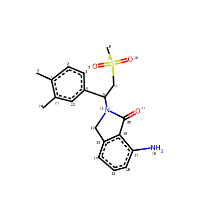 Cc1ccc(C(CS(C)(=O)=O)N2Cc3cccc(N)c3C2=O)cc1C